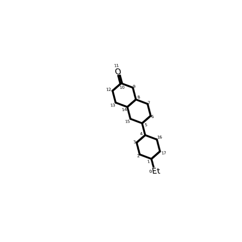 CCC1CCC(C2CCC3CC(=O)CCC3C2)CC1